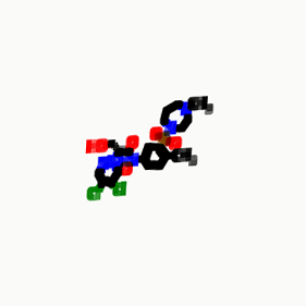 Cc1ccc(NC(=O)[C@@H](CO)n2ncc(Cl)c(Cl)c2=O)cc1S(=O)(=O)N1CCCN(C)CC1